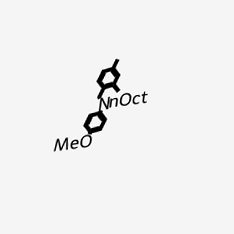 CCCCCCCCN(Cc1ccc(C)cc1C)c1ccc(OC)cc1